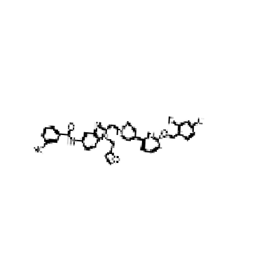 N#Cc1cccc(C(=O)Nc2ccc3c(c2)nc(CN2CCC(c4cccc(OCc5ccc(Cl)cc5F)n4)CC2)n3C[C@@H]2CCO2)c1